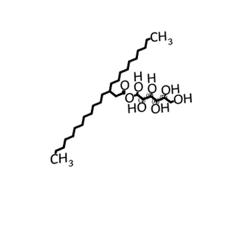 CCCCCCCCCCCCC(CCCCCCCCCC)CC(=O)OC(O)[C@@H](O)[C@@H](O)[C@H](O)[C@H](O)CO